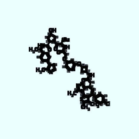 Cc1ncsc1-c1ccc([C@H](C)NC(=O)[C@@H]2C[C@@H](O)CN2C(=O)[C@@H](NC(=O)COc2ccnc(O[C@H]3C[C@@H](NC(=O)C[C@@H]4N=C(c5ccc(Cl)cc5)c5c(sc(C)c5C)-n5c(C)nnc54)C3)c2)C(C)(C)C)cc1